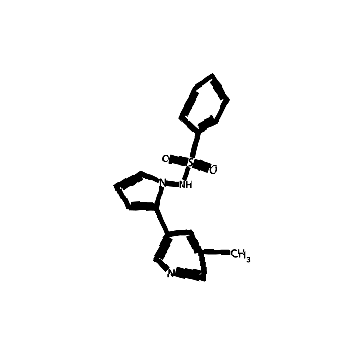 Cc1cncc(-c2cccn2NS(=O)(=O)c2ccccc2)c1